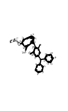 Cc1cc(C(c2ccccc2)c2ccccc2)cc(C)c1-c1cccc(OC(C)(C)C)c1I